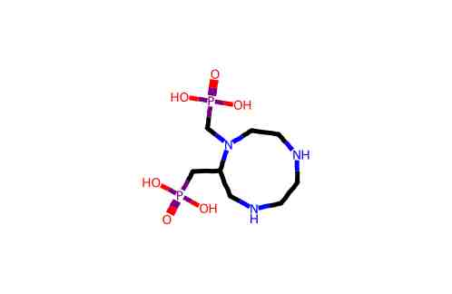 O=P(O)(O)CC1CNCCNCCN1CP(=O)(O)O